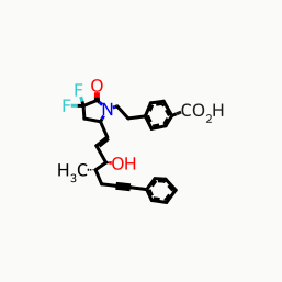 C[C@@H](CC#Cc1ccccc1)[C@H](O)/C=C/C1CC(F)(F)C(=O)N1CCc1ccc(C(=O)O)cc1